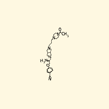 CC(=O)N1CCN(CCCN2CC3CN(C[C@H](N)COc4ccc(C#N)cc4)CC3C2)CC1